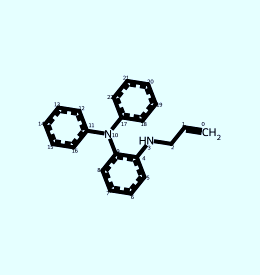 C=CCNc1ccccc1N(c1ccccc1)c1ccccc1